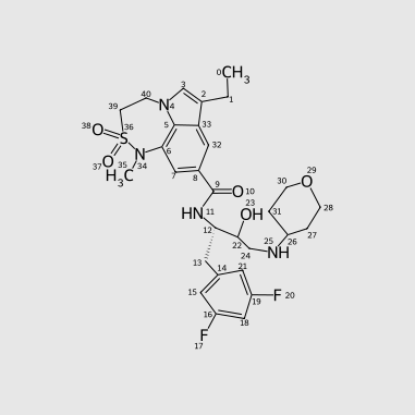 CCc1cn2c3c(cc(C(=O)N[C@@H](Cc4cc(F)cc(F)c4)C(O)CNC4CCOCC4)cc13)N(C)S(=O)(=O)CC2